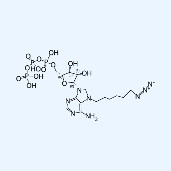 [N-]=[N+]=NCCCCCCN1CN([C@@H]2O[C@H](COP(=O)(O)OP(=O)(O)OP(=O)(O)O)[C@@H](O)[C@H]2O)c2ncnc(N)c21